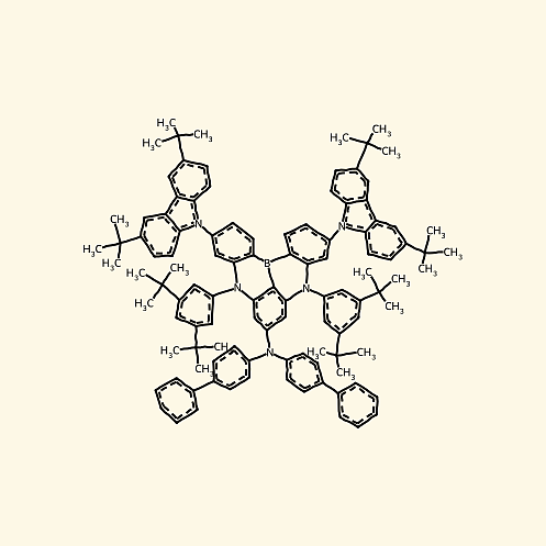 CC(C)(C)c1cc(N2c3cc(-n4c5ccc(C(C)(C)C)cc5c5cc(C(C)(C)C)ccc54)ccc3B3c4ccc(-n5c6ccc(C(C)(C)C)cc6c6cc(C(C)(C)C)ccc65)cc4N(c4cc(C(C)(C)C)cc(C(C)(C)C)c4)c4cc(N(c5ccc(-c6ccccc6)cc5)c5ccc(-c6ccccc6)cc5)cc2c43)cc(C(C)(C)C)c1